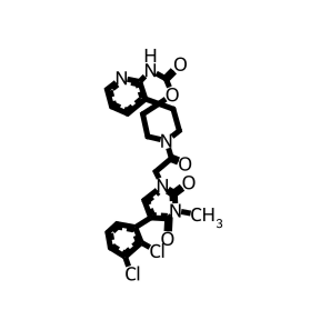 Cn1c(=O)c(-c2cccc(Cl)c2Cl)cn(CC(=O)N2CCC3(CC2)OC(=O)Nc2ncccc23)c1=O